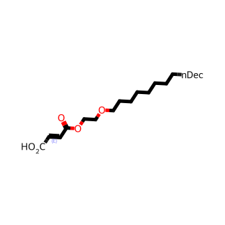 CCCCCCCCCCCCCCCCCCOCCOC(=O)/C=C/C(=O)O